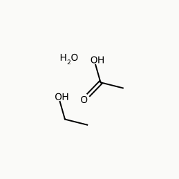 CC(=O)O.CCO.O